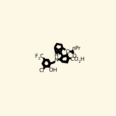 CCCC(=O)Oc1c(C(=O)O)ccc(NCc2cc(C(F)(F)F)cc(Cl)c2O)c1C1CC2CCC1(C)C2(C)C